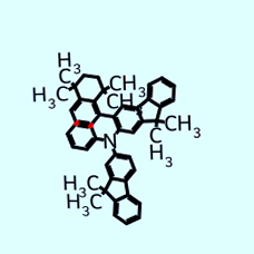 CC1(C)CCC(C)(C)c2c(-c3cc4c(cc3N(c3ccccc3)c3ccc5c(c3)C(C)(C)c3ccccc3-5)C(C)(C)c3ccccc3-4)cccc21